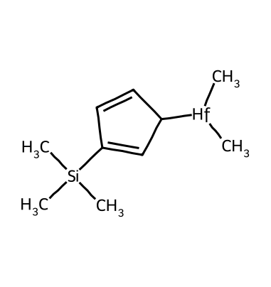 [CH3][Hf]([CH3])[CH]1C=CC([Si](C)(C)C)=C1